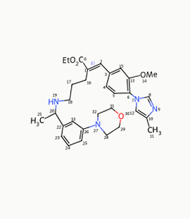 CCOC(=O)/C(=C/c1ccc(-n2cnc(C)c2)c(OC)c1)CCCNC(C)c1cccc(N2CCOCC2)c1